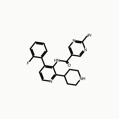 CC(C)c1ncc(C(=O)Nc2c(-c3ccccc3F)ccnc2C2CCNCC2)cn1